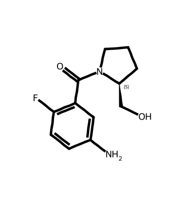 Nc1ccc(F)c(C(=O)N2CCC[C@H]2CO)c1